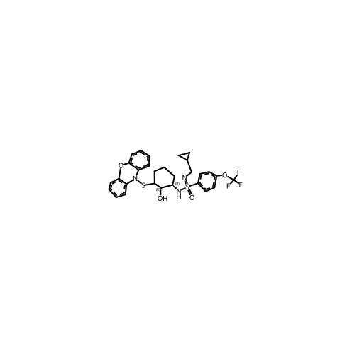 O=S(=NCC1CC1)(N[C@@H]1CCCC(SN2c3ccccc3Oc3ccccc32)[C@@H]1O)c1ccc(OC(F)(F)F)cc1